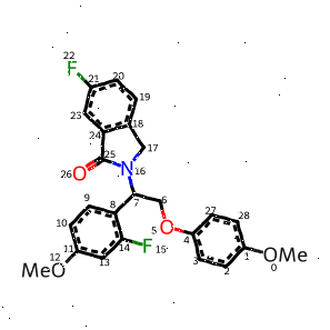 COc1ccc(OCC(c2ccc(OC)cc2F)N2Cc3ccc(F)cc3C2=O)cc1